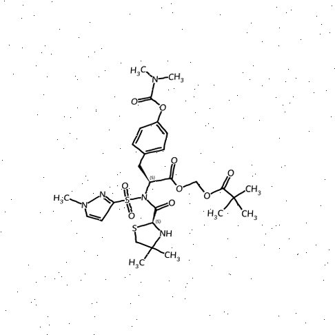 CN(C)C(=O)Oc1ccc(C[C@@H](C(=O)OCOC(=O)C(C)(C)C)N(C(=O)[C@H]2NC(C)(C)CS2)S(=O)(=O)c2ccn(C)n2)cc1